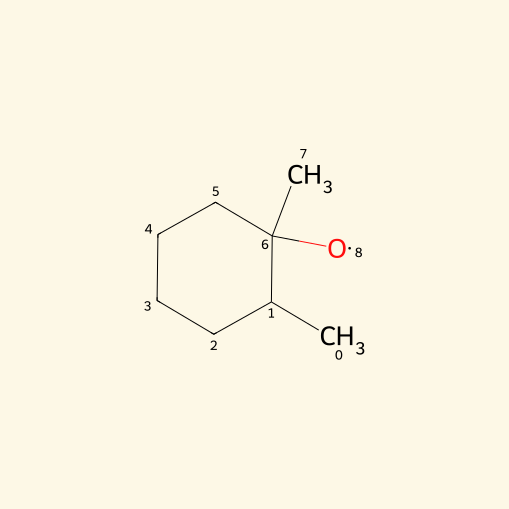 CC1CCCCC1(C)[O]